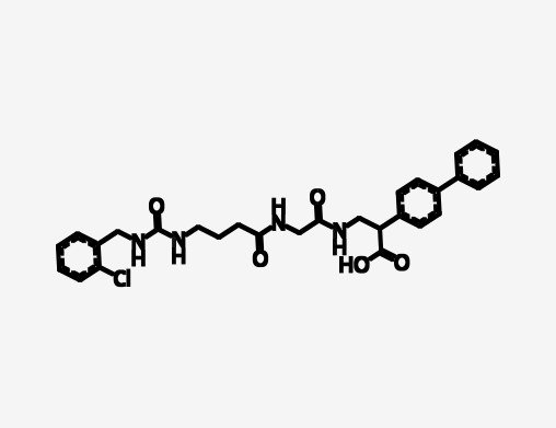 O=C(CCCNC(=O)NCc1ccccc1Cl)NCC(=O)NCC(C(=O)O)c1ccc(-c2ccccc2)cc1